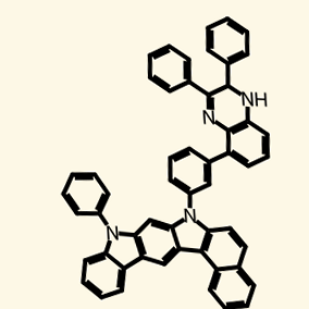 c1ccc(C2=Nc3c(cccc3-c3cccc(-n4c5cc6c(cc5c5c7ccccc7ccc54)c4ccccc4n6-c4ccccc4)c3)NC2c2ccccc2)cc1